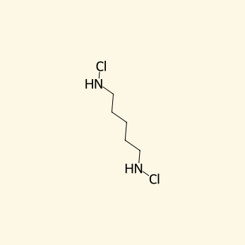 ClNCCCCCNCl